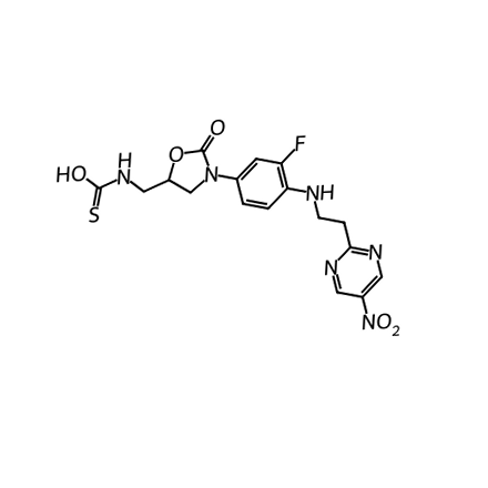 O=C1OC(CNC(O)=S)CN1c1ccc(NCCc2ncc([N+](=O)[O-])cn2)c(F)c1